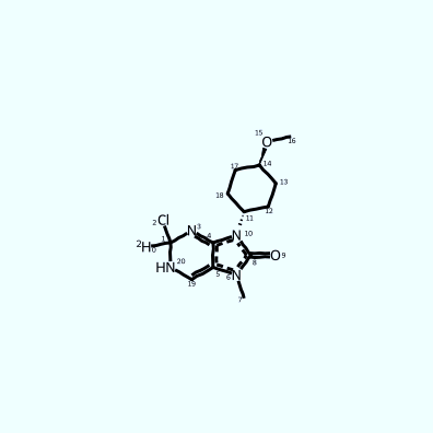 [2H]C1(Cl)N=c2c(n(C)c(=O)n2[C@H]2CC[C@H](OC)CC2)=CN1